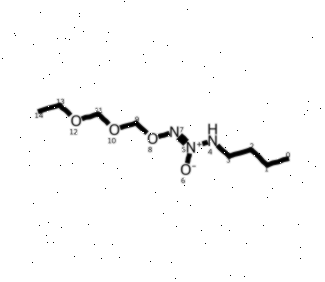 CCCCN[N+]([O-])=NOCOCOCC